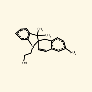 CC1(C)c2ccccc2N(CCO)C12C=Cc1cc([N+](=O)[O-])ccc1C2